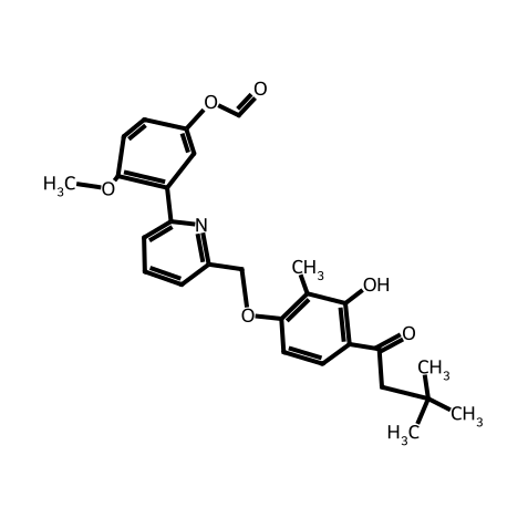 COc1ccc(OC=O)cc1-c1cccc(COc2ccc(C(=O)CC(C)(C)C)c(O)c2C)n1